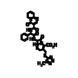 Cn1nnnc1SCC1=C(C(=O)O)N2C(=O)C(NC(=O)C(NC(=O)c3cnc4ccccn4c3=O)c3ccccc3)[C@H]2SC1